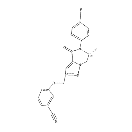 C[C@@H]1Cn2nc(COc3cccc(C#N)c3)cc2C(=O)N1c1ccc(F)cc1